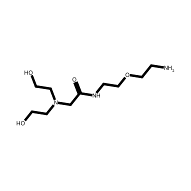 NCCOCCNC(=O)CN(CCO)CCO